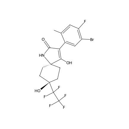 Cc1cc(F)c(Br)cc1C1=C(O)[C@]2(CC[C@@](O)(C(F)(F)C(F)(F)F)CC2)NC1=O